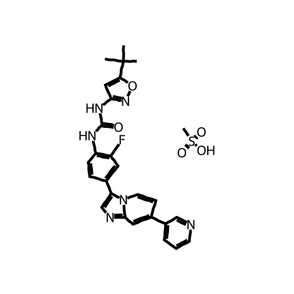 CC(C)(C)c1cc(NC(=O)Nc2ccc(-c3cnc4cc(-c5cccnc5)ccn34)cc2F)no1.CS(=O)(=O)O